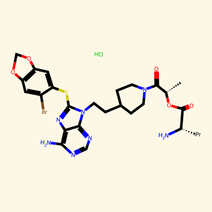 CC(C)[C@H](N)C(=O)O[C@@H](C)C(=O)N1CCC(CCn2c(Sc3cc4c(cc3Br)OCO4)nc3c(N)ncnc32)CC1.Cl